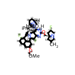 C=C1CN2C[C@@H](F)C[C@@]2(COc2nc(N3C[C@H]4CC[C@@H](C3)N4C(=O)O)c3cnc(-c4cc(OCOC)cc5ccc(F)c(C#C[Si](C(C)C)(C(C)C)C(C)C)c45)c(F)c3n2)C1